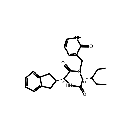 CCC(CC)[C@@H]1C(=O)N[C@H](C2Cc3ccccc3C2)C(=O)N1Cc1ccc[nH]c1=O